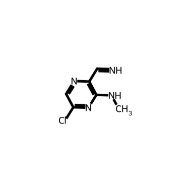 CNc1nc(Cl)cnc1C=N